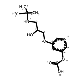 CC(C)(C)NCC(O)COc1cncc(OC(=O)O)c1